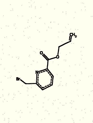 C=CCOC(=O)c1cccc(CBr)n1